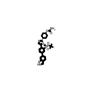 CC(C)(C)NS(=O)(=O)c1cc(-c2ccc3c[nH]nc3c2)ccc1-c1cnc([C@H]2CC[C@H](OC(N)=O)CC2)s1